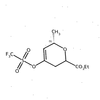 CCOC(=O)C1CC(OS(=O)(=O)C(F)(F)F)=C[C@H](C)O1